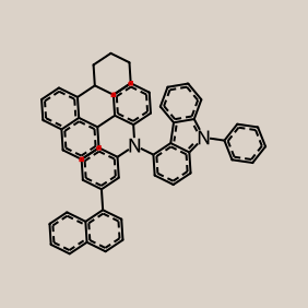 c1ccc(-n2c3ccccc3c3c(N(c4cccc(-c5cccc6ccccc56)c4)c4ccccc4-c4cccc5cccc(C6CCCCC6)c45)cccc32)cc1